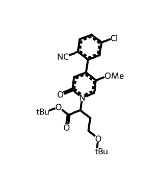 COc1cn(C(CCOC(C)(C)C)C(=O)OC(C)(C)C)c(=O)cc1-c1cc(Cl)ccc1C#N